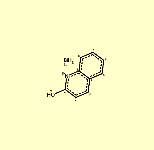 Oc1ccc2ccccc2n1.[BiH3]